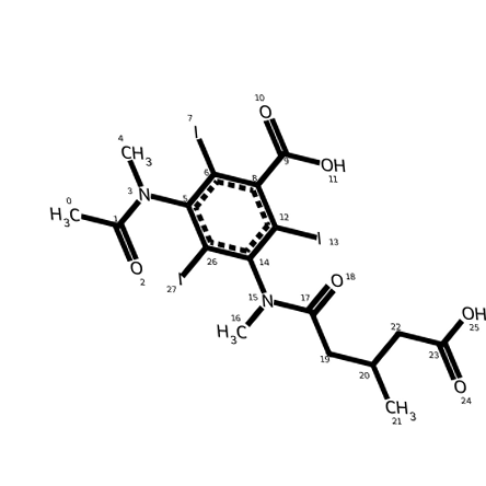 CC(=O)N(C)c1c(I)c(C(=O)O)c(I)c(N(C)C(=O)CC(C)CC(=O)O)c1I